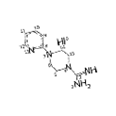 I.N=C(N)N1CCN(c2ccccn2)CC1